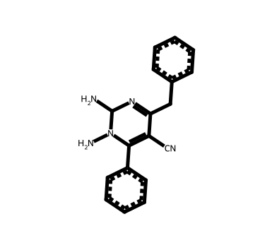 N#CC1=C(c2ccccc2)N(N)C(N)N=C1Cc1ccccc1